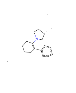 c1ccc(C2=C(N3CCCC3)CCCC2)cc1